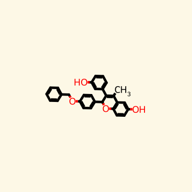 CC1=C(c2cccc(O)c2)C(c2ccc(OCc3ccccc3)cc2)Oc2ccc(O)cc21